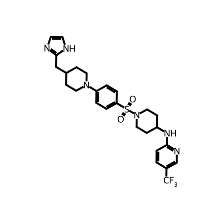 O=S(=O)(c1ccc(N2CCC(Cc3ncc[nH]3)CC2)cc1)N1CCC(Nc2ccc(C(F)(F)F)cn2)CC1